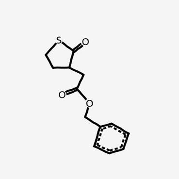 O=C(CC1CCSC1=O)OCc1ccccc1